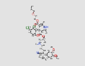 CCCOCCOC(=O)C1=C(C)NC(C)=C(C(=O)OC(C)CN(C)CCCC(C#N)(c2ccc(OC)c(OC)c2)C(C)C)C1c1cccc(Cl)c1Cl